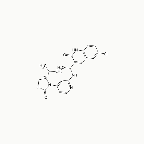 CC(Nc1cc(N2C(=O)OC[C@@H]2C(C)C)ccn1)c1cc2cc(Cl)ccc2[nH]c1=O